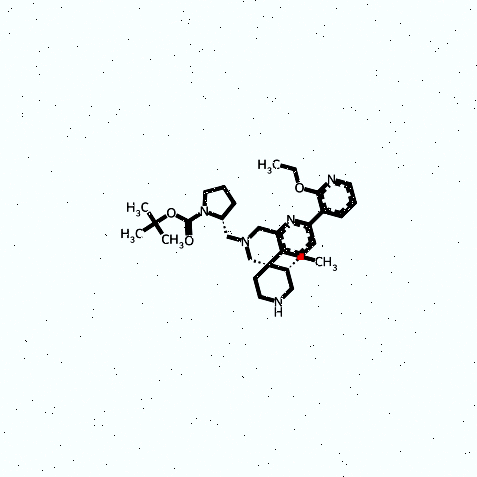 CCOc1ncccc1-c1ccc2c(n1)CN(C[C@H]1CCCN1C(=O)OC(C)(C)C)C[C@]21CCNC[C@H]1CC